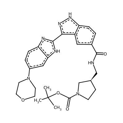 CC(C)(C)OC(=O)N1CC[C@H](CNC(=O)c2ccc3[nH]nc(-c4nc5ccc(N6CCOCC6)cc5[nH]4)c3c2)C1